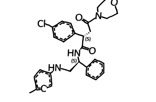 Cc1ccc(NC[C@@H](NC(=O)[C@@H](CC(=O)N2CCOCC2)c2ccc(Cl)cc2)c2ccccc2)cc1